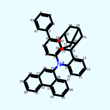 c1ccc(-c2ccc(N(c3ccccc3C3C4CC5CC(C4)CC3C5)c3cc4ccccc4c4ccccc34)cc2)cc1